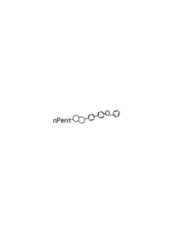 CCCCCC1CCC2CC(c3ccc(-c4ccc(OCc5ccccc5)cc4)cc3)CCC2C1